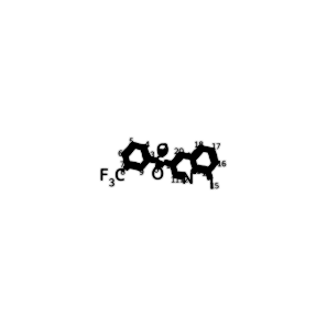 O=S(=O)(c1cccc(C(F)(F)F)c1)c1cnc2c(I)cccc2c1